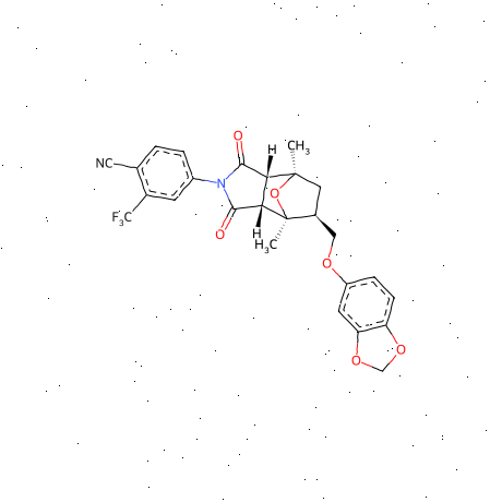 C[C@]12O[C@](C)(C[C@H]1COc1ccc3c(c1)OCO3)[C@H]1C(=O)N(c3ccc(C#N)c(C(F)(F)F)c3)C(=O)[C@H]12